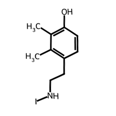 Cc1c(O)ccc(CCNI)c1C